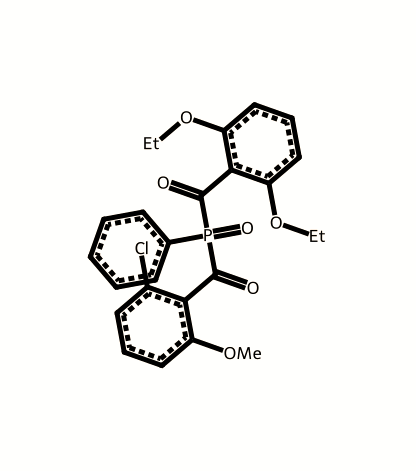 CCOc1cccc(OCC)c1C(=O)P(=O)(C(=O)c1c(Cl)cccc1OC)c1ccccc1